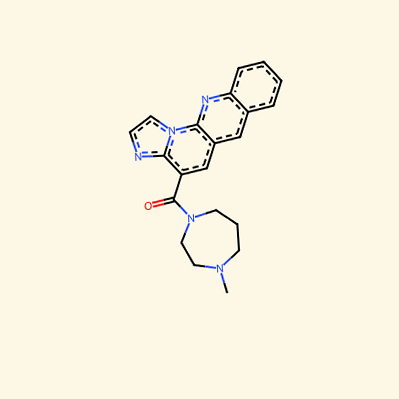 CN1CCCN(C(=O)c2cc3cc4ccccc4nc3n3ccnc23)CC1